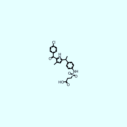 Cc1cc(C(C)c2ccc(NS(=O)(=O)CCC(=O)O)cc2)[nH]c1C(=O)c1ccc(Cl)cc1